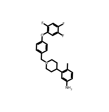 Cc1ccc(N)cc1C1CCN(Cc2ccc(Oc3cc(F)c(F)cc3F)cc2)CC1